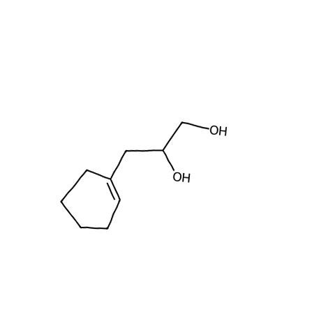 OCC(O)CC1=CCCCC1